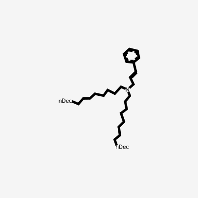 CCCCCCCCCCCCCCCCCCN(CC=Cc1ccccc1)CCCCCCCCCCCCCCCCCC